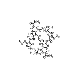 Cc1cc(C(=O)Nc2nc3cc(C(N)=O)c4oc(C)cc4c3n2C/C=C/CN2c3c(cc(C(N)=O)cc3OCCCO)NC2NC(=O)c2cc(C)nn2CCF)n(CCF)n1